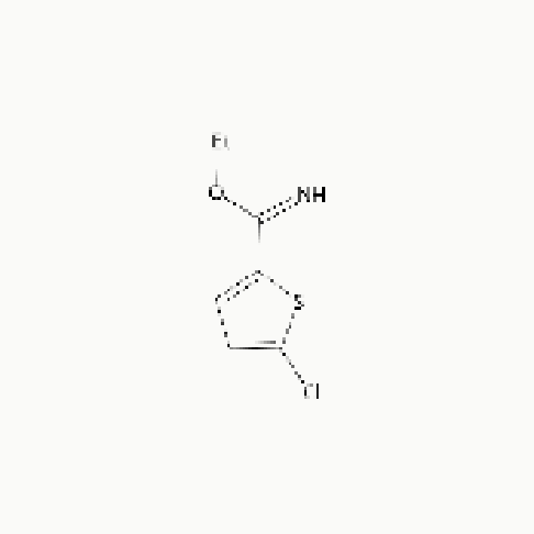 CCOC(=N)c1ccc(Cl)s1